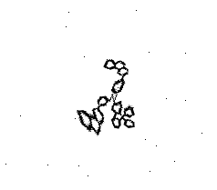 c1ccc(C2(c3ccccc3)c3ccccc3-c3cc(N(c4ccc(-c5ccc6ccc7ccccc7c6c5)cc4)c4cccc(-c5ccc6ccc7ccccc7c6c5)c4)ccc32)cc1